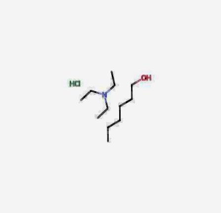 CCCCCCO.CCN(CC)CC.Cl